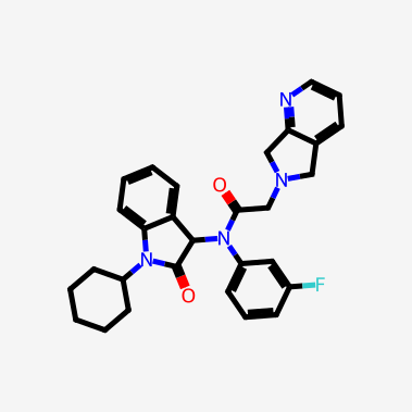 O=C1C(N(C(=O)CN2Cc3cccnc3C2)c2cccc(F)c2)c2ccccc2N1C1CCCCC1